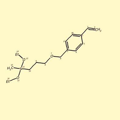 C=Cc1ccc(COCCC[Si](C)(OCC)OCC)cc1